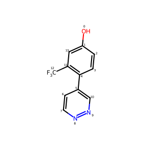 Oc1ccc(-c2ccnnc2)c(C(F)(F)F)c1